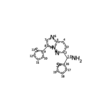 NC(c1ccc2ncc(-c3cccs3)n2n1)c1cccs1